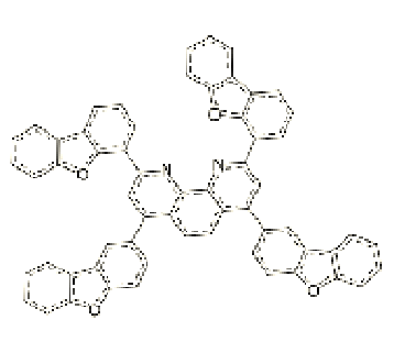 c1ccc2c(c1)oc1ccc(-c3cc(-c4cccc5c4oc4ccccc45)nc4c3ccc3c(-c5ccc6oc7ccccc7c6c5)cc(-c5cccc6c5oc5ccccc56)nc34)cc12